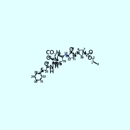 C=CCOC(=O)N1CC[C@@H](N2CC/C(=C\C3=C(C(=O)O)N4C(=O)[C@@H](NC(=O)CSc5ccccc5)[C@H]4SC3)C2=O)C1